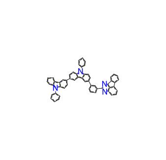 c1ccc(-n2c3ccccc3c3cc(-c4ccc5c(c4)c4cc(-c6cccc(-c7nc8c9c(cccc9n7)-c7ccccc7-8)c6)ccc4n5-c4ccccc4)ccc32)cc1